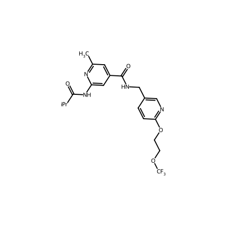 Cc1cc(C(=O)NCc2ccc(OCCOC(F)(F)F)nc2)cc(NC(=O)C(C)C)n1